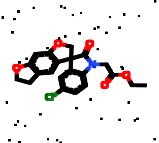 CCOC(=O)CN1C(=O)C2(COc3cc4c(cc32)CCO4)c2cc(Cl)ccc21